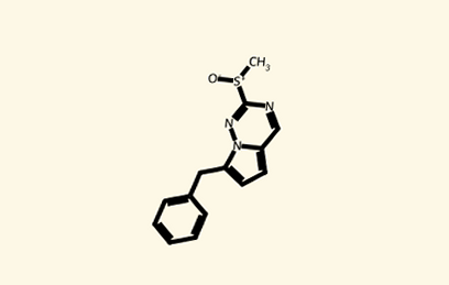 C[S+]([O-])c1ncc2ccc(Cc3ccccc3)n2n1